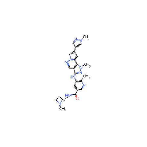 Cc1ncc(C(=O)NC[C@H]2CCN2C)cc1Nc1nn(C)c2c1cnn1cc(-c3cnn(C)c3)cc21